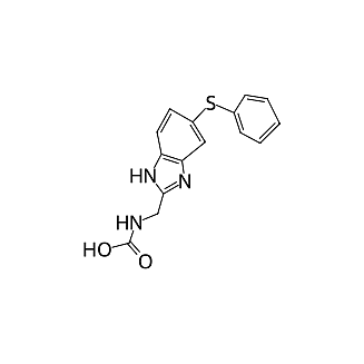 O=C(O)NCc1nc2cc(Sc3ccccc3)ccc2[nH]1